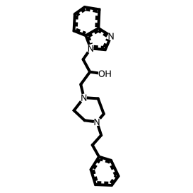 OC(CN1CCN(CCc2ccccc2)CC1)Cn1cnc2ccccc21